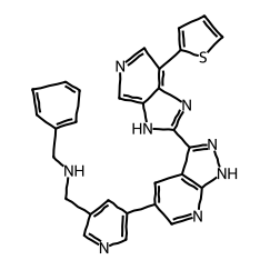 c1ccc(CNCc2cncc(-c3cnc4[nH]nc(-c5nc6c(-c7cccs7)cncc6[nH]5)c4c3)c2)cc1